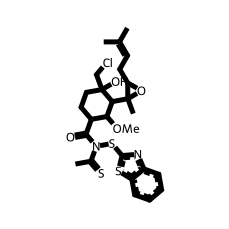 COC1C(C(=O)N(Sc2nc3ccccc3s2)C(C)=S)CCC(O)(CCl)C1C1(C)OC1CC=C(C)C